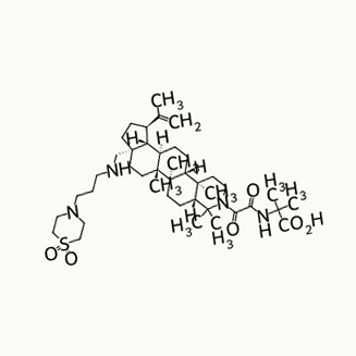 C=C(C)[C@@H]1CC[C@]2(CNCCCN3CCS(=O)(=O)CC3)CC[C@]3(C)[C@H](CC[C@@H]4[C@@]5(C)CCN(C(=O)C(=O)NC(C)(C)C(=O)O)C(C)(C)[C@@H]5CC[C@]43C)[C@@H]12